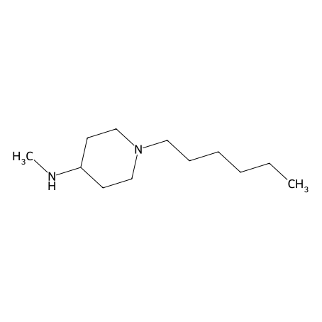 CCCCCCN1CCC(NC)CC1